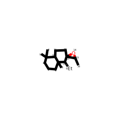 CCC1C2(C)CCCC(C)(C)C2CCC12OC2C